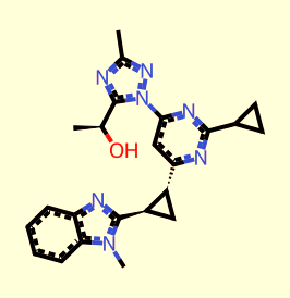 Cc1nc([C@H](C)O)n(-c2cc([C@@H]3C[C@H]3c3nc4ccccc4n3C)nc(C3CC3)n2)n1